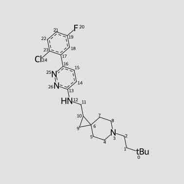 CC(C)(C)CCN1CCC2(CC1)CC2CNc1ccc(-c2cc(F)ccc2Cl)nn1